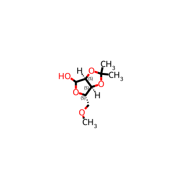 COC[C@@H]1OC(O)[C@H]2OC(C)(C)O[C@@H]12